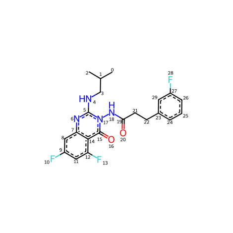 CC(C)CNc1nc2cc(F)cc(F)c2c(=O)n1NC(=O)CCc1cccc(F)c1